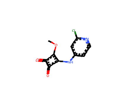 COc1c(Nc2ccnc(Cl)c2)c(=O)c1=O